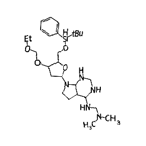 CCOCOC1CC(N2CCC3C(NCN(C)C)NCNC32)OC1CO[SiH](c1ccccc1)C(C)(C)C